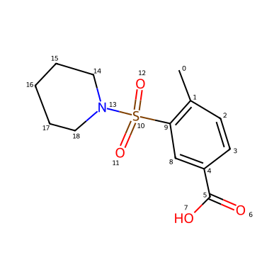 Cc1ccc(C(=O)O)cc1S(=O)(=O)N1CCCCC1